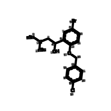 CCCCN(CCCC)CC(O)c1cc(Br)ccc1OCc1ccc(Cl)cc1